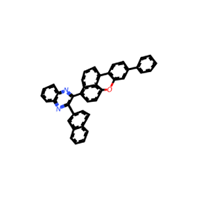 c1ccc(-c2ccc3c(c2)Oc2ccc(-c4nc5ccccc5nc4-c4ccc5ccccc5c4)c4cccc-3c24)cc1